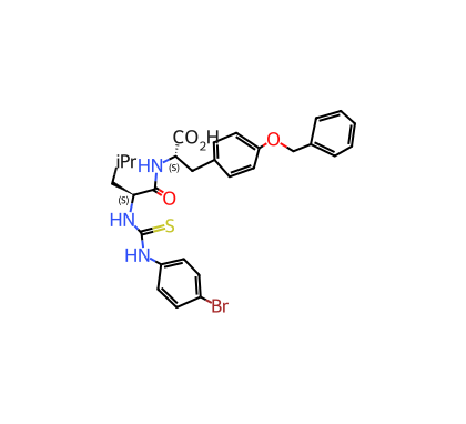 CC(C)C[C@H](NC(=S)Nc1ccc(Br)cc1)C(=O)N[C@@H](Cc1ccc(OCc2ccccc2)cc1)C(=O)O